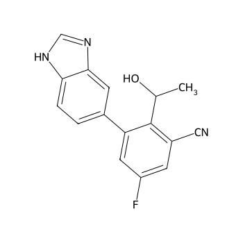 CC(O)c1c(C#N)cc(F)cc1-c1ccc2[nH]cnc2c1